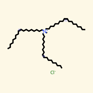 CCCCCCCC/C=C\CCCCCCCC[N+](C)(CCCCCCCC/C=C\CCCCCCCC)CCCCCCCC/C=C\CCCCCCCC.[Cl-]